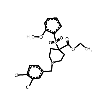 CCOC(=O)C1(S(=O)(=O)c2ccccc2OC)CCN(Cc2ccc(Cl)c(Cl)c2)CC1